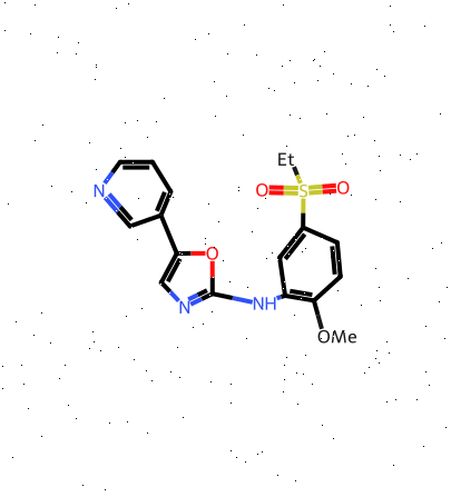 CCS(=O)(=O)c1ccc(OC)c(Nc2ncc(-c3cccnc3)o2)c1